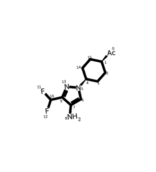 CC(=O)[C@H]1CC[C@@H](n2cc(N)c(C(F)F)n2)CC1